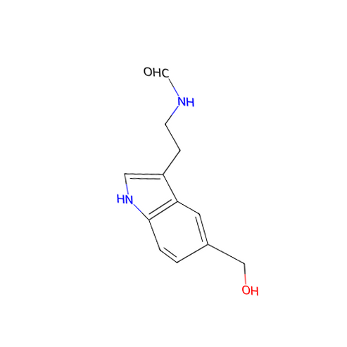 O=CNCCc1c[nH]c2ccc(CO)cc12